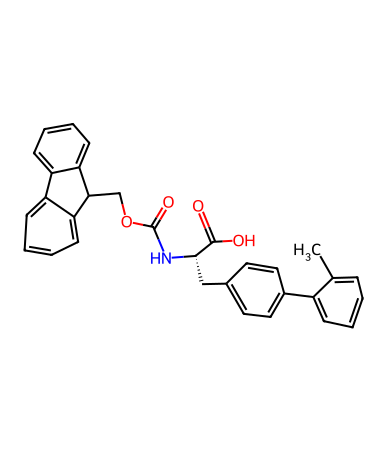 Cc1ccccc1-c1ccc(C[C@H](NC(=O)OCC2c3ccccc3-c3ccccc32)C(=O)O)cc1